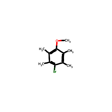 COc1c(C)c(C)c(Br)c(C)c1C